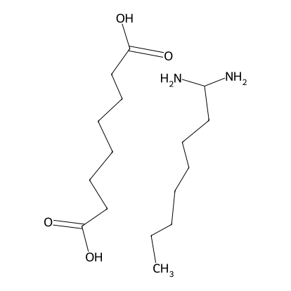 CCCCCCCC(N)N.O=C(O)CCCCCCC(=O)O